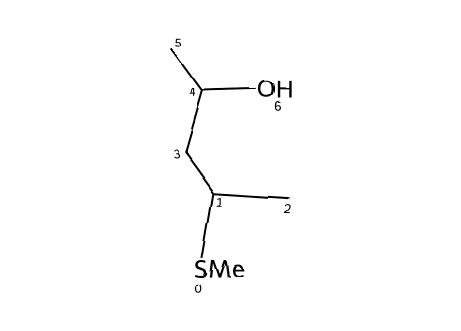 CSC(C)CC(C)O